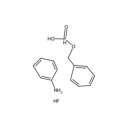 F.Nc1ccccc1.O=[PH](O)OCc1ccccc1